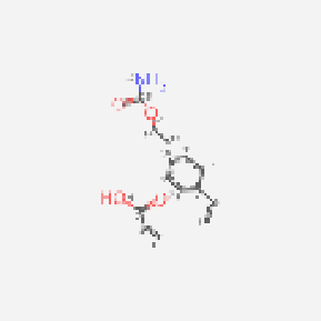 C=CC(=O)O.C=Cc1ccccc1.CCOC(N)=O